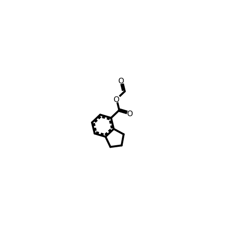 O=COC(=O)c1cccc2c1CCC2